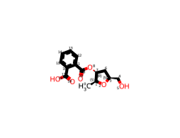 C[C@@H]1O[C@H](CO)C[C@H]1OC(=O)c1ccccc1C(=O)O